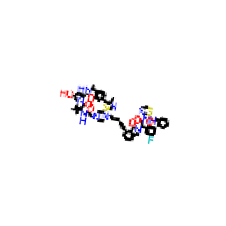 Cc1ncsc1-c1ccc([C@H](C)NC(=O)[C@@H]2C[C@@H](O)CN2C(=O)[C@@H](NC(=O)CN2CCN(CCCC#Cc3cccc4c3C(=O)N(C(C(=O)Nc3nccs3)c3cc(F)ccc3OCc3ccccc3)C4)CC2)C(C)(C)C)cc1